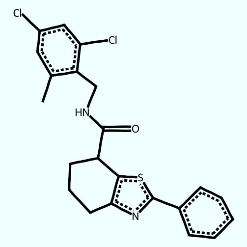 Cc1cc(Cl)cc(Cl)c1CNC(=O)C1CCCc2nc(-c3ccccc3)sc21